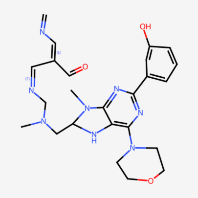 C=N/C=C(C=O)\C=N/CN(C)CC1Nc2c(N3CCOCC3)nc(-c3cccc(O)c3)nc2N1C